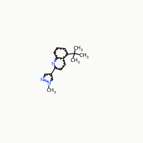 Cn1cc(-c2ccc3c(C(C)(C)C)cccc3n2)cn1